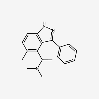 Cc1ccc2[nH]nc(-c3ccccc3)c2c1C(C)N(C)C